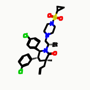 C=CC[C@@]1(C)C[C@H](c2cccc(Cl)c2)[C@@H](c2ccc(Cl)cc2)N([C@@H](CC)CN2CCN(S(=O)(=O)C3CC3)CC2)C1=O